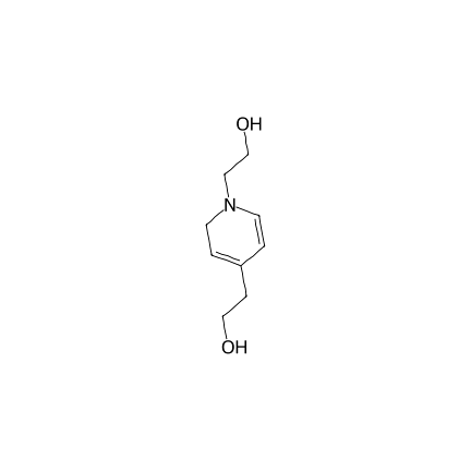 OCCC1=CCN(CCO)C=C1